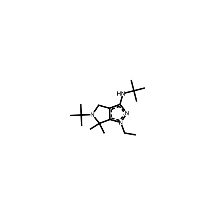 CCn1nc(NC(C)(C)C)c2c1C(C)(C)N(C(C)(C)C)C2